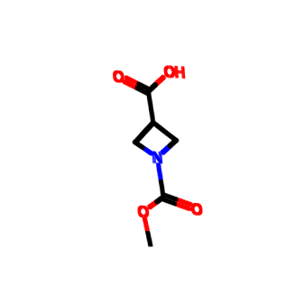 COC(=O)N1CC(C(=O)O)C1